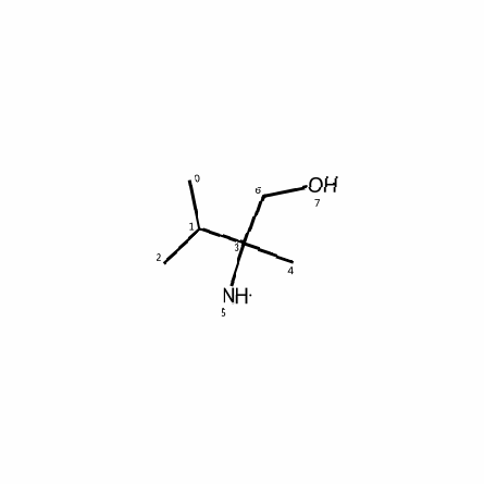 CC(C)C(C)([NH])CO